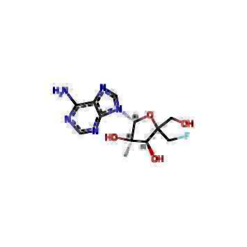 C[C@@]1(O)[C@H](O)C(CO)(CF)O[C@H]1n1cnc2c(N)ncnc21